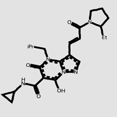 CCC1CCCN1C(=O)C=Cc1cnn2c(O)c(C(=O)NC3CC3)c(=O)n(CC(C)C)c12